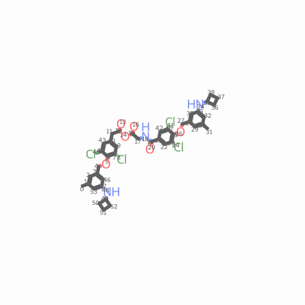 Cc1cc(COc2c(Cl)cc(CC(=O)OC(=O)CNC(=O)c3cc(Cl)c(OCc4cc(C)cc(NC5CCC5)c4)c(Cl)c3)cc2Cl)cc(NC2CCC2)c1